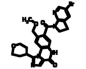 COCc1cc2c(cc1C(=O)N1CCc3cc(Br)cnc31)[nH]c(=O)c1cnc(C3CCOCC3)n12